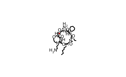 CCCCCC[C@H]1OC[C@@H]2NC(=O)[C@H](COCCCN2CCCN)NC(=O)[C@H](CN)NC(=O)[C@H](C2CCCCCC2)NC(=O)[C@H](CCC)N(C)C(=O)[C@@H]1C